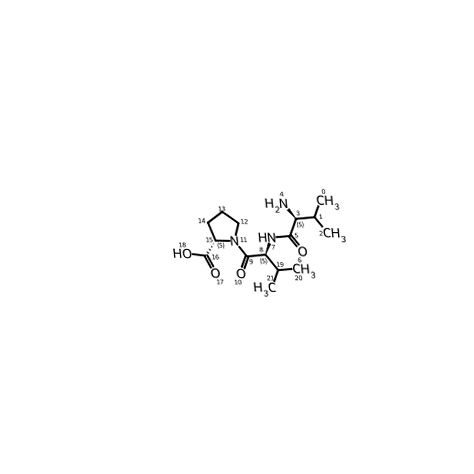 CC(C)[C@H](N)C(=O)N[C@H](C(=O)N1CCC[C@H]1C(=O)O)C(C)C